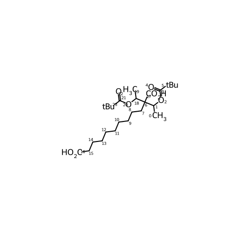 CC(OC(=O)C(C)(C)C)C(CCCCCCCCCC(=O)O)(C(=O)O)C(C)OC(=O)C(C)(C)C